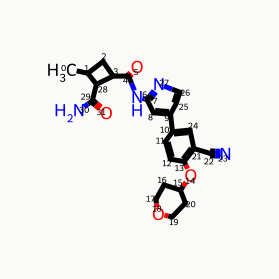 CC1CC(C(=O)Nc2cc(-c3ccc(OC4CCOCC4)c(C#N)c3)ccn2)C1C(N)=O